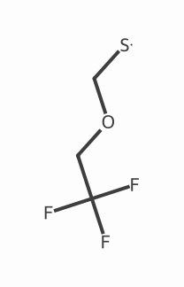 FC(F)(F)COC[S]